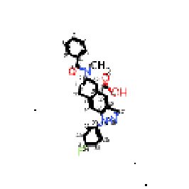 CN(C(=O)c1ccccc1)[C@H]1CCC2=Cc3c(cnn3-c3ccc(F)cc3)C[C@]2(C(=O)O)C1